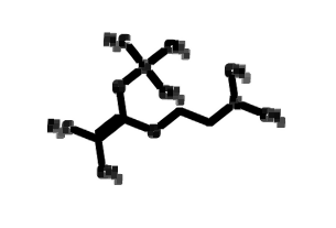 CC(C)=C(OCCN(C)C)O[Si](C)(C)C